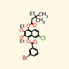 CCOc1c(OCC)c(OC(=O)c2cccc(Br)c2)c2cc(Cl)ccc2c1OC(=O)CC(C)(C)CC